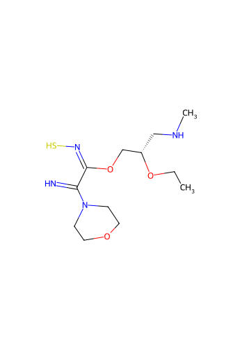 CCO[C@@H](CNC)CO/C(=N/S)C(=N)N1CCOCC1